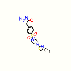 NC(=O)Cc1ccc(S(=O)(=O)N2CCN(c3nc(C(F)(F)F)cs3)CC2)cc1